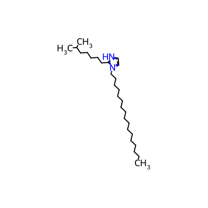 CCCCCCCCCCCCCCCCC[n+]1cc[nH]c1CCCCCC(C)C